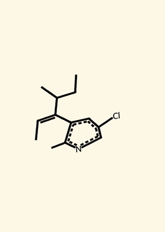 C/C=C(\c1cc(Cl)cnc1C)C(C)CC